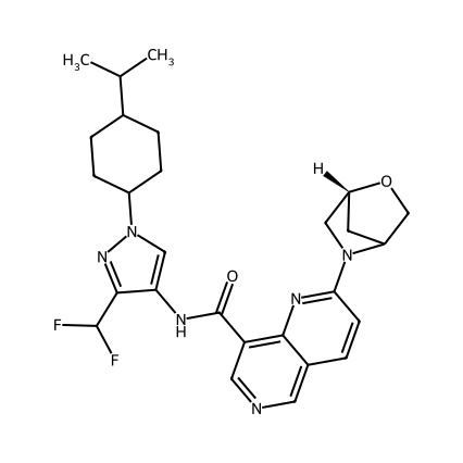 CC(C)C1CCC(n2cc(NC(=O)c3cncc4ccc(N5C[C@H]6CC5CO6)nc34)c(C(F)F)n2)CC1